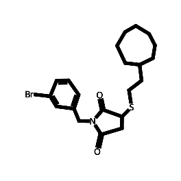 O=C1CC(SCCC2CCCCCCC2)C(=O)N1Cc1cccc(Br)c1